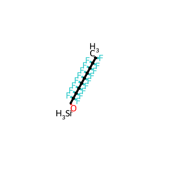 CC(F)C(F)(F)C(F)(F)C(F)(F)C(F)(F)C(F)(F)C(F)(F)C(F)(F)C(F)(F)CO[SiH3]